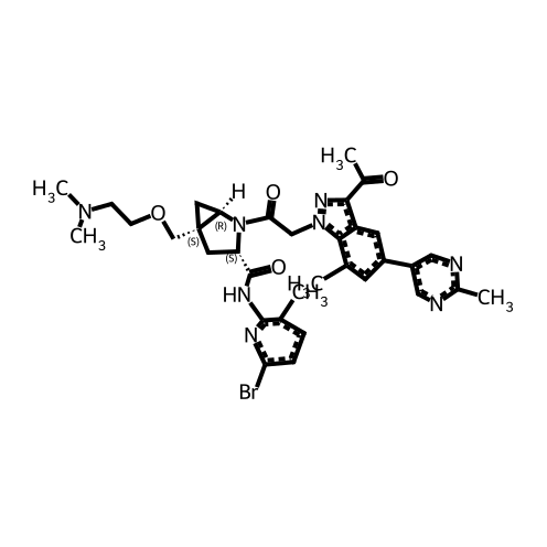 CC(=O)c1nn(CC(=O)N2[C@H](C(=O)Nc3nc(Br)ccc3C)C[C@@]3(COCCN(C)C)C[C@@H]23)c2c(C)cc(-c3cnc(C)nc3)cc12